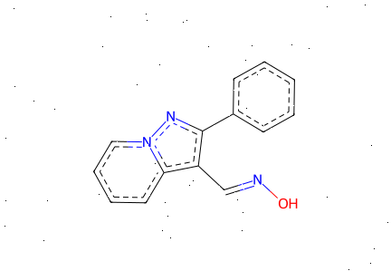 O/N=C/c1c(-c2ccccc2)nn2ccccc12